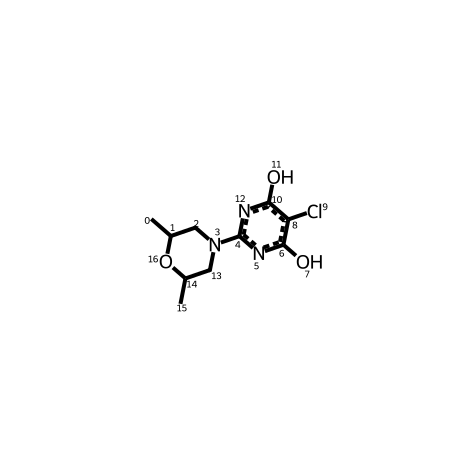 CC1CN(c2nc(O)c(Cl)c(O)n2)CC(C)O1